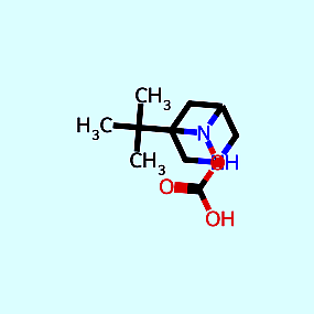 CC(C)(C)C12CNCC(C1)N2OC(=O)O